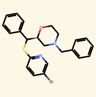 Brc1ccc(SC(c2ccccc2)[C@@H]2CN(Cc3ccccc3)CCO2)nc1